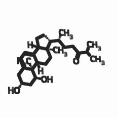 CC(C)C(=O)CC[C@@H](C)[C@H]1CC[C@H]2C3=CC=C4C[C@@H](O)C[C@H](O)[C@]4(C)[C@H]3CC[C@]12C